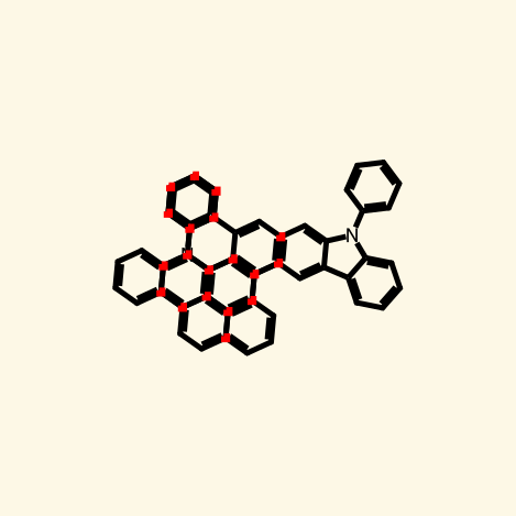 c1ccc(-c2ccccc2-c2c(-c3ccccc3)cccc2-c2ccccc2N(c2cccc(-c3ccc4c(c3)c3ccccc3n4-c3ccccc3)c2)c2ccccc2-c2ccccc2)cc1